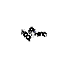 CC1(/C=N/C(O)C2=CC(CC3CCOCC3)C=C2)CCCC(CNC2=CC(C(C)(F)F)C=CC3=C2C=C(Cl)C2=CC2C3)C1